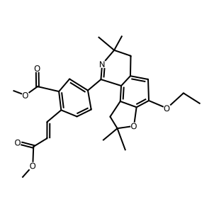 CCOc1cc2c(c3c1OC(C)(C)C3)C(c1ccc(/C=C/C(=O)OC)c(C(=O)OC)c1)=NC(C)(C)C2